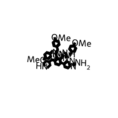 COc1ccc(CN(Cc2ccc(OC)cc2)S(=O)(=O)c2c(CC3CCNCC3)ccc(-c3ccc4nc(N)[nH]c4c3)c2-c2nnn(Cc3ccc(OC)cc3)n2)cc1